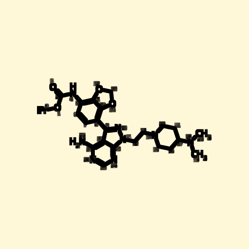 CC(C)OC(=O)Nc1ccc(-c2nn(CCN3CCC(N(C)C)CC3)c3ncnc(N)c23)c2c1OCO2